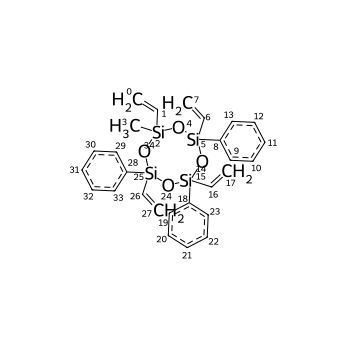 C=C[Si]1(C)O[Si](C=C)(c2ccccc2)O[Si](C=C)(c2ccccc2)O[Si](C=C)(c2ccccc2)O1